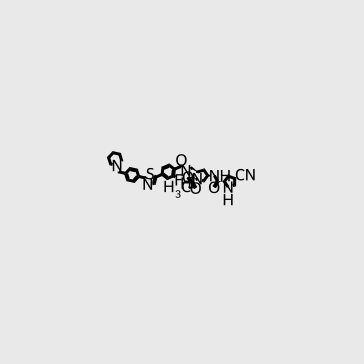 CS(=O)(=O)N1C[C@H](NC(=O)[C@@H]2C[C@H](C#N)CN2)C[C@@H]1CNC(=O)c1ccc(-c2cnc(-c3ccc(CN4CCCCC4)cc3)s2)cc1F